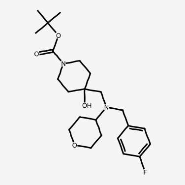 CC(C)(C)OC(=O)N1CCC(O)(CN(Cc2ccc(F)cc2)C2CCOCC2)CC1